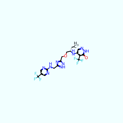 CC[C@@H](COCc1n[nH]c(CNc2ncc(C(F)(F)F)cn2)n1)Nc1cn[nH]c(=O)c1C(F)(F)F